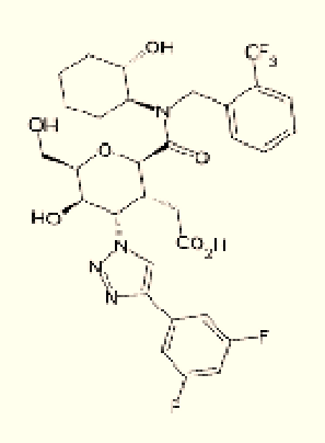 O=C(O)C[C@@H]1[C@H](n2cc(-c3cc(F)cc(F)c3)nn2)[C@@H](O)[C@@H](CO)O[C@H]1C(=O)N(Cc1ccccc1C(F)(F)F)[C@H]1CCCC[C@@H]1O